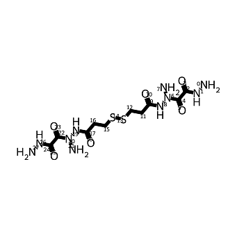 NNC(=O)C(=O)N(N)NC(=O)CCSSCCC(=O)NN(N)C(=O)C(=O)NN